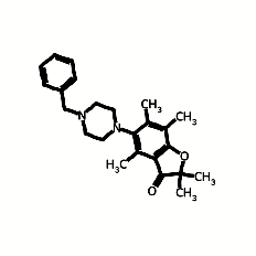 Cc1c(C)c(N2CCN(Cc3ccccc3)CC2)c(C)c2c1OC(C)(C)C2=O